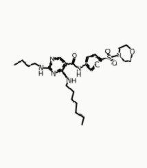 CCCCCCCNc1nc(NCCCC)ncc1C(=O)Nc1ccc(S(=O)(=O)N2CCOCC2)cc1